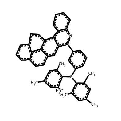 Cc1cc(C)c(B(c2cccc(-c3nc4ccccc4c4c3cc3ccc5cccc6ccc4c3c56)c2)c2c(C)cc(C)cc2C)c(C)c1